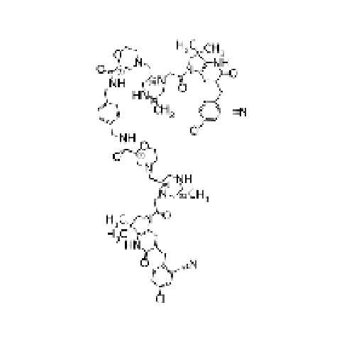 C[C@@H]1CN(CC(=O)N2CC(C)(C)c3[nH]c(=O)c(Cc4ccc(Cl)cc4C#N)cc32)[C@@H](CN2CCO[C@H](C(=O)NCc3ccc(CNC(=O)[C@@H]4CN(C[C@H]5CN[C@H](C)CN5CC(=O)N5CC(C)(C)c6[nH]c(=O)c(Cc7ccc(Cl)cc7C#N)cc65)CCO4)cc3)C2)CN1